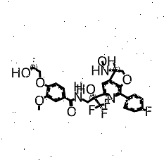 COc1cc(C(=O)NC[C@@](O)(c2cc3c(c(-c4ccc(F)cc4)n2)OC[C@@]3(C)NO)C(F)(F)F)ccc1OC[C@@H](C)O